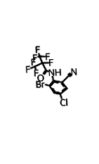 N#Cc1cc(Cl)cc(Br)c1NC(=O)C(F)(C(F)(F)F)C(F)(F)F